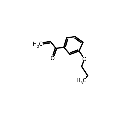 C=CC(=O)c1cccc(OCCC)c1